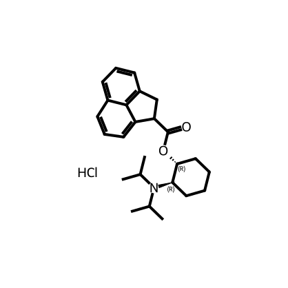 CC(C)N(C(C)C)[C@@H]1CCCC[C@H]1OC(=O)C1Cc2cccc3cccc1c23.Cl